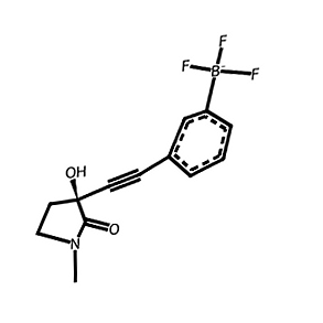 CN1CC[C@](O)(C#Cc2cccc([B-](F)(F)F)c2)C1=O